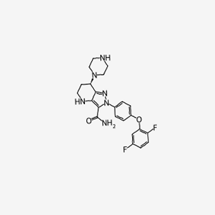 NC(=O)c1c2c(nn1-c1ccc(Oc3cc(F)ccc3F)cc1)[C@H](N1CCNCC1)CCN2